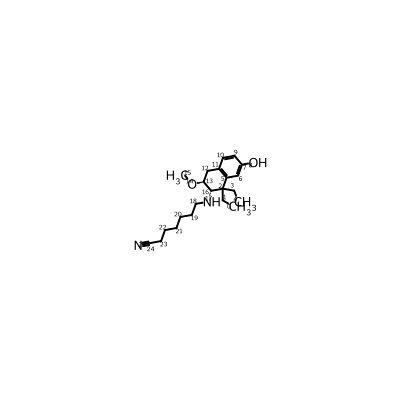 CCC1(CC)c2cc(O)ccc2C[C@H](OC)[C@H]1NCCCCCCC#N